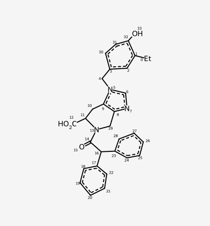 CCc1cc(Cn2cnc3c2CC(C(=O)O)N(C(=O)C(c2ccccc2)c2ccccc2)C3)ccc1O